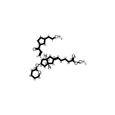 CCCC1CCC(C(=O)C=C[C@@H]2[C@H]3CC(=CCCCC(=O)OC)C[C@@H]3C[C@H]2OC2CCCCO2)C1